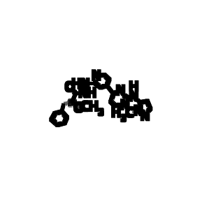 CO[C@H](Cc1ccccc1)C(=O)NNc1cc(-c2ccnc(Nc3ccnn3C)n2)ccn1